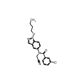 CCCCOn1ncc2cc(N(CC#N)C(=O)c3cccc(Cl)c3)ccc21